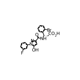 O=C(O)C[C@H](NC(=O)c1cc(O)n(-c2cccc(F)c2)n1)c1ccccc1Br